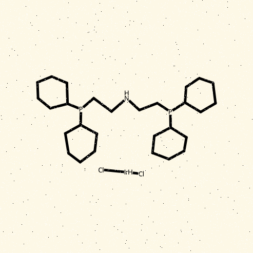 C1CCC(P(CCNCCP(C2CCCCC2)C2CCCCC2)C2CCCCC2)CC1.[Cl][IrH][Cl]